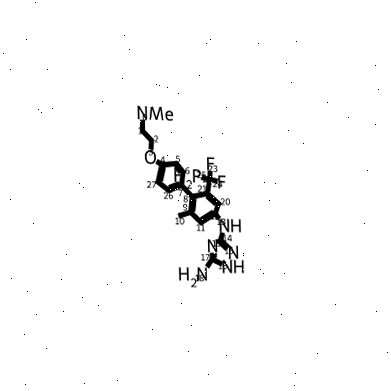 CNCCOc1ccc(-c2c(C)cc(Nc3n[nH]c(N)n3)cc2C(F)(F)P)cc1